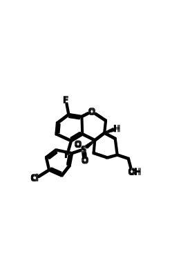 O=S(=O)(c1ccc(Cl)cc1)[C@]12CCC(CO)C[C@H]1COc1c(F)ccc(F)c12